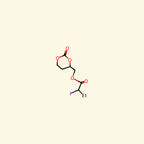 CCC(I)C(=O)OCC1CCOC(=O)O1